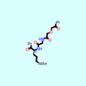 CNCCC[C@H](NC(=O)CNC(=O)COCC(=O)C(C)C)C(=O)C(C)C